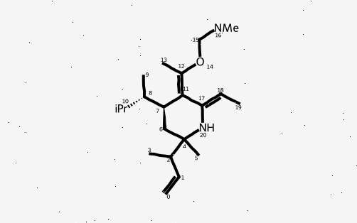 C=CC(C)C1(C)C[C@@H]([C@@H](C)C(C)C)C(=C(\C)OCNC)/C(=C/C)N1